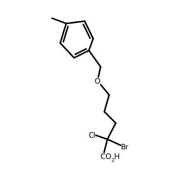 Cc1ccc(COCCCC(Cl)(Br)C(=O)O)cc1